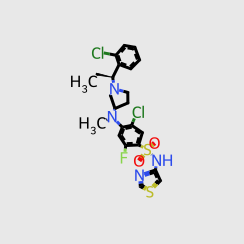 CC[C@@H](c1ccccc1Cl)N1CCC(N(C)c2cc(F)c(S(=O)(=O)Nc3cscn3)cc2Cl)C1